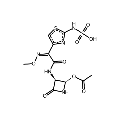 CO/N=C(\C(=O)N[C@@H]1C(=O)N[C@H]1OC(C)=O)c1csc(NS(=O)(=O)O)n1